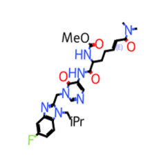 COC(=O)NC(CC/C=C/C(=O)N(C)C)C(=O)Nc1cncn(Cc2nc3cc(F)ccc3n2CC(C)C)c1=O